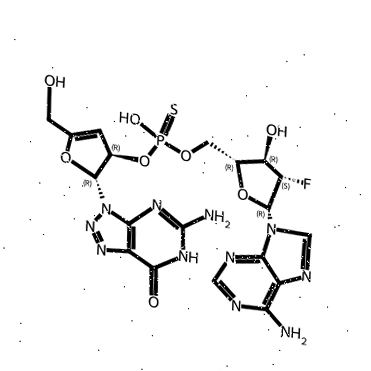 Nc1nc2c(nnn2[C@@H]2OC(CO)=C[C@H]2OP(O)(=S)OC[C@H]2O[C@@H](n3cnc4c(N)ncnc43)[C@@H](F)[C@@H]2O)c(=O)[nH]1